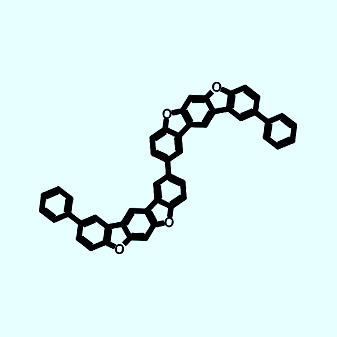 c1ccc(-c2ccc3oc4cc5oc6ccc(-c7ccc8oc9cc%10oc%11ccc(-c%12ccccc%12)cc%11c%10cc9c8c7)cc6c5cc4c3c2)cc1